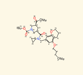 COCCCOc1cc(CN(C(=O)[C@@H]2C[C@H](C(=O)OC)CN(C(=O)OC(C)(C)C)C2)C2CC2)cc2c1CCCO2